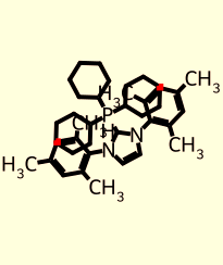 Cc1cc(C)c(N2C=CN(c3c(C)cc(C)cc3C)C2[PH](C2CCCCC2)(C2CCCCC2)C2CCCCC2)c(C)c1